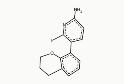 Nc1ccc(-c2cccc3c2OCCC3)c(I)n1